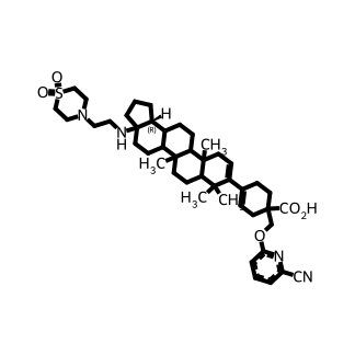 CC1(C)C(C2=CCC(COc3cccc(C#N)n3)(C(=O)O)CC2)=CCC2(C)C1CCC1(C)C3CCC4(NCCN5CCS(=O)(=O)CC5)CCC[C@@H]4C3CCC12